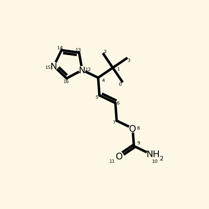 CC(C)(C)C(C=CCOC(N)=O)n1ccnc1